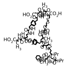 CCCC(=O)OCN(C(=O)[C@@H](NC(=O)[C@H]1CCCCN1C)C(C)CC)[C@H](CCc1nc(C(=O)N[C@@H](Cc2ccc(O)cc2)C[C@H](C)C(=O)NNC(=O)OCCSSC[C@@H](NC(=O)[C@H](C)NC(=O)[C@H](CC(=O)O)NC(=O)Cc2ccc(CNC(=O)NCC[C@@H](NC(=O)N[C@@H](C)C(=O)O)C(=O)O)cc2)C(=O)O)cs1)C(C)C